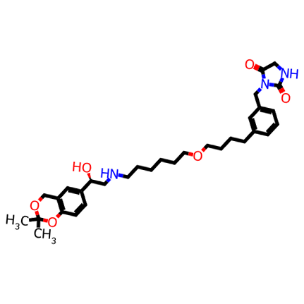 CC1(C)OCc2cc([C@@H](O)CNCCCCCCOCCCCc3cccc(CN4C(=O)CNC4=O)c3)ccc2O1